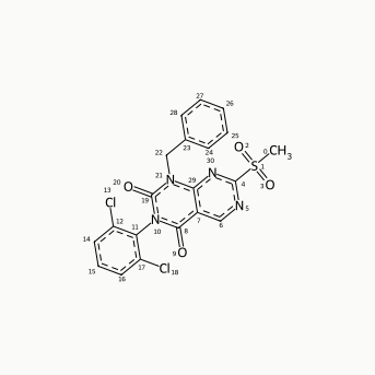 CS(=O)(=O)c1ncc2c(=O)n(-c3c(Cl)cccc3Cl)c(=O)n(Cc3ccccc3)c2n1